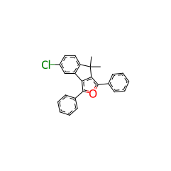 CC1(C)c2ccc(Cl)cc2-c2c(-c3ccccc3)oc(-c3ccccc3)c21